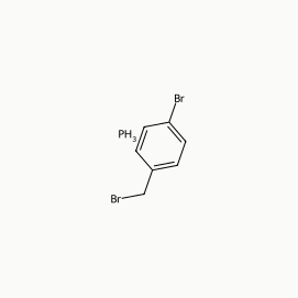 BrCc1ccc(Br)cc1.P